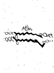 CC(C)[O][Al+2].CCCCCCCC/C=C\CCCCCCCCCC(=O)CC(=O)[O-].CCCCCCCC/C=C\CCCCCCCCCC(=O)CC(=O)[O-]